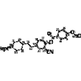 CCCCCCCCOc1ccc(C(=O)Oc2ccc(CCC3CCC(CCCCCCC)CC3)cc2C#N)cc1